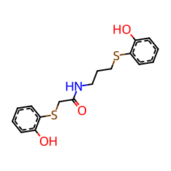 O=C(CSc1ccccc1O)NCCCSc1ccccc1O